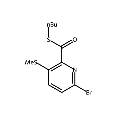 CCCCSC(=O)c1nc(Br)ccc1SC